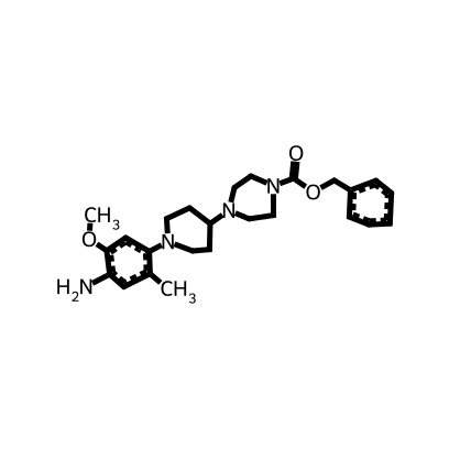 COc1cc(N2CCC(N3CCN(C(=O)OCc4ccccc4)CC3)CC2)c(C)cc1N